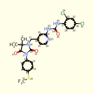 CC1(C)C(=O)N(c2ccc(SC(F)(F)F)cc2)C(=O)N1Cc1ccnc(NC(=O)Nc2ccc(Cl)cc2Cl)c1